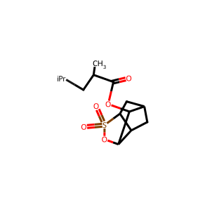 CC(C)CC(C)C(=O)OC1C2CC3C1OS(=O)(=O)C3C2